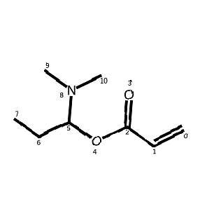 C=CC(=O)OC(CC)N(C)C